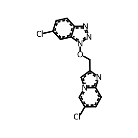 Clc1ccc2nnn(OCc3cn4cc(Cl)ccc4n3)c2c1